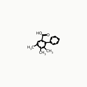 Cc1cc(C(=O)O)c(-c2ccccc2)c(C)c1C